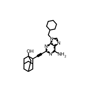 Nc1nc(C#CC2C3CC4CC(C3)CC2(O)C4)nc2c1ncn2CC1CCCCC1